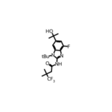 CC(C)(O)c1cc(F)c2nc(NC(=O)CC(C)(C)C(F)(F)F)n(C(C)(C)C)c2c1